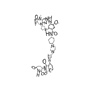 COc1cc(C(=O)N[C@H]2CC[C@H](N3CCN(CCCNc4cccc5c4C(=O)N(C4CCC(=O)NC4=O)C5=O)CC3)CC2)c(F)cc1Nc1ncc2c(n1)N(C1CCCC1)CC(F)(F)C(=O)N2C